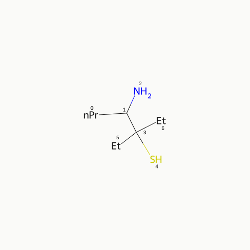 CCCC(N)C(S)(CC)CC